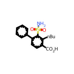 CCCCc1c(C(=O)O)ccc(-c2ccccc2)c1S(N)(=O)=O